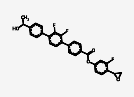 CC(O)c1ccc(-c2ccc(-c3ccc(C(=O)Oc4ccc(C5CO5)c(F)c4)cc3)c(F)c2F)cc1